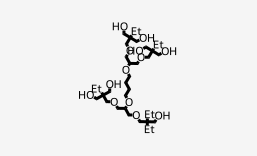 CCC(CC)(CO)COCC(COCC(CC)(CO)CO)OCCCCOC(COCC(CC)(CO)CO)COCC(CC)(CO)CO